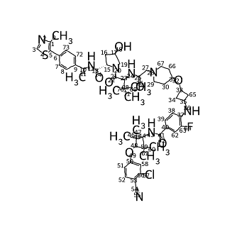 Cc1ncsc1-c1ccc([C@H](C)NC(=O)[C@@H]2C[C@@H](O)CN2C(=O)[C@@H](NC(=O)CN2CCC(OC3CC(Nc4ccc(C(=O)NC5C(C)(C)C(Oc6ccc(C#N)c(Cl)c6)C5(C)C)cc4F)C3)CC2)C(C)(C)C)cc1